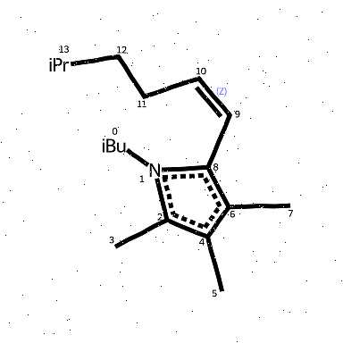 CCC(C)n1c(C)c(C)c(C)c1/C=C\CCC(C)C